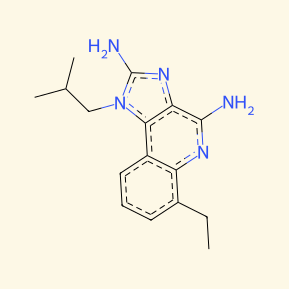 CCc1cccc2c1nc(N)c1nc(N)n(CC(C)C)c12